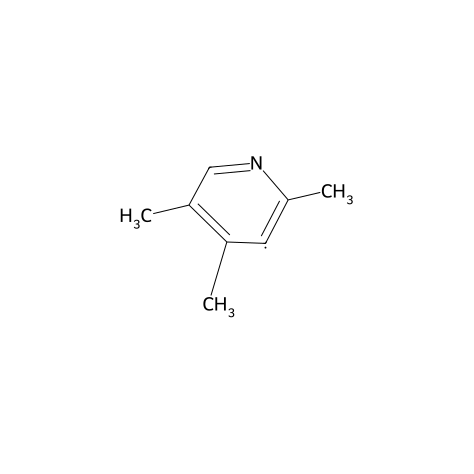 Cc1[c]c(C)c(C)cn1